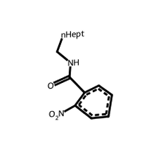 CCCCCCCCNC(=O)c1ccccc1[N+](=O)[O-]